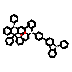 c1ccc(N(c2ccc(-c3ccc4c(c3)c3ccccc3n4-c3ccccc3)cc2)c2ccccc2-c2ccc3c(c2)N(c2ccccc2)c2ccccc2C3(c2ccccc2)c2ccccc2)cc1